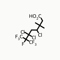 CC(C)(CC(=O)O)C(Cl)CC(Cl)(Cl)C(F)(C(F)(F)F)C(F)(F)F